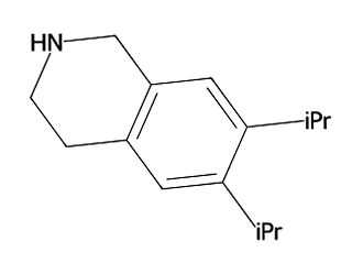 CC(C)c1cc2c(cc1C(C)C)CNCC2